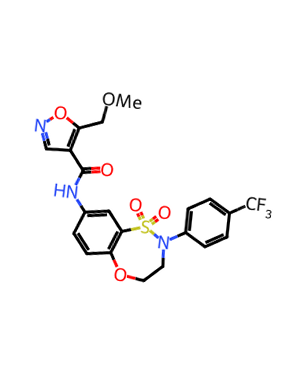 COCc1oncc1C(=O)Nc1ccc2c(c1)S(=O)(=O)N(c1ccc(C(F)(F)F)cc1)CCO2